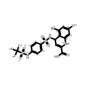 O=C(O)C1=CC(NS(=O)(=O)c2ccc(NS(=O)(=O)C(F)(F)F)cc2)c2c(Br)cc(Cl)cc2N1